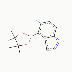 CC1(C)OB(c2c(F)ccc3[nH]ccc23)OC1(C)C